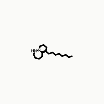 CCCCCCCCC1=C2CCCCNN2CCC1